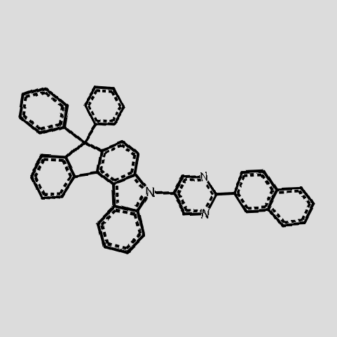 c1ccc(C2(c3ccccc3)c3ccccc3-c3c2ccc2c3c3ccccc3n2-c2cnc(-c3ccc4ccccc4c3)nc2)cc1